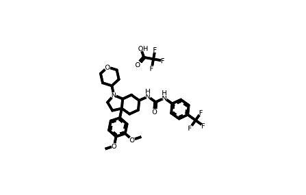 COc1ccc(C23CCC(NC(=O)Nc4ccc(C(F)(F)F)cc4)CC2N(C2CCOCC2)CC3)cc1OC.O=C(O)C(F)(F)F